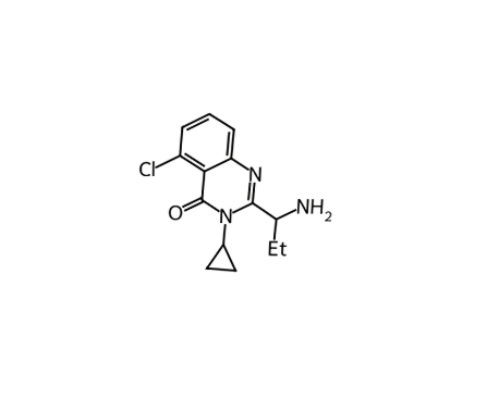 CCC(N)c1nc2cccc(Cl)c2c(=O)n1C1CC1